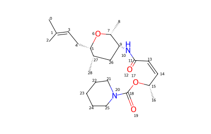 CC(C)=CC[C@@H]1O[C@H](C)[C@H](NC(=O)/C=C\[C@H](C)OC(=O)N2CCCCC2)C[C@@H]1C